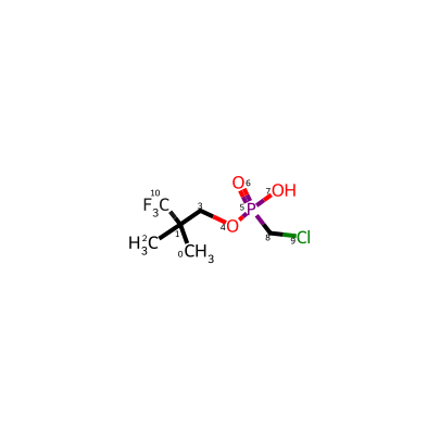 CC(C)(COP(=O)(O)CCl)C(F)(F)F